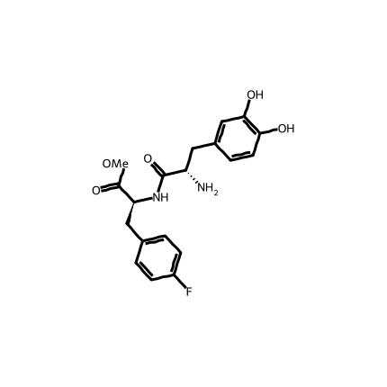 COC(=O)[C@H](Cc1ccc(F)cc1)NC(=O)[C@@H](N)Cc1ccc(O)c(O)c1